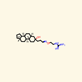 C[C@@]12CCC[C@H]1[C@@H]1CC[C@@H]3C[C@](O)(CCC=NOCCNC(=N)N)CC[C@]3(C)[C@H]1CC2